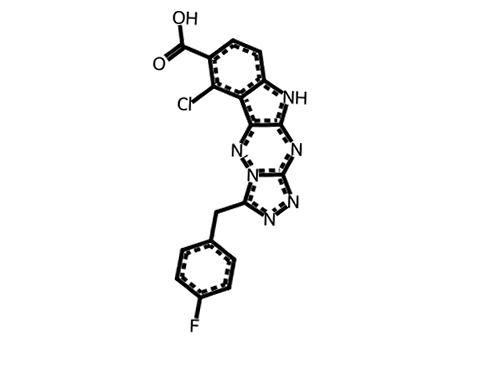 O=C(O)c1ccc2[nH]c3nc4nnc(Cc5ccc(F)cc5)n4nc3c2c1Cl